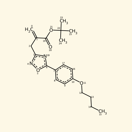 C=C(Cc1noc(-c2ccc(OCCCC)cc2)n1)C(=O)OC(C)(C)C